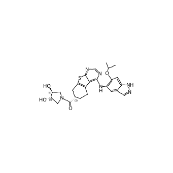 CC(C)Oc1cc2[nH]ncc2cc1Nc1ncnc2sc3c(c12)CC[C@H](C(=O)N1C[C@H](O)[C@@H](O)C1)C3